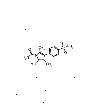 Cc1c(-c2ccc(S(N)(=O)=O)cc2)c(C)n(C(N)=O)c1C